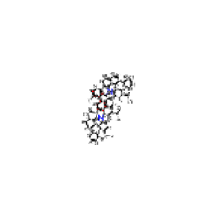 CC(C)c1ccc(N(c2c(-c3ccccc3)ccc3ccc(-c4ccccc4)cc23)c2cc(C(C)C)c3ccc4c(N(c5ccc(C(C)C)cc5)c5c(-c6ccccc6)ccc6ccc(-c7ccccc7)cc56)cc(C(C)C)c5ccc2c3c54)cc1